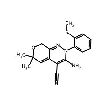 CSc1ccccc1N1N=C2COC(C)(C)C=C2C(C#N)=C1N